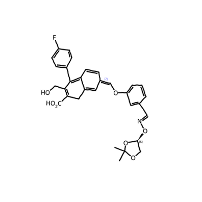 CC1(C)OC[C@H](ON=Cc2cccc(O/C=c3/ccc4c(c3)CC(C(=O)O)=C(CO)C=4c3ccc(F)cc3)c2)O1